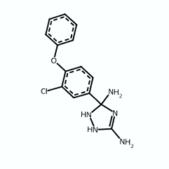 NC1=NC(N)(c2ccc(Oc3ccccc3)c(Cl)c2)NN1